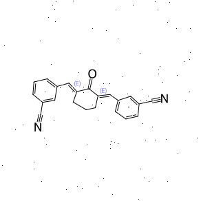 N#Cc1cccc(/C=C2\CCC/C(=C\c3cccc(C#N)c3)C2=O)c1